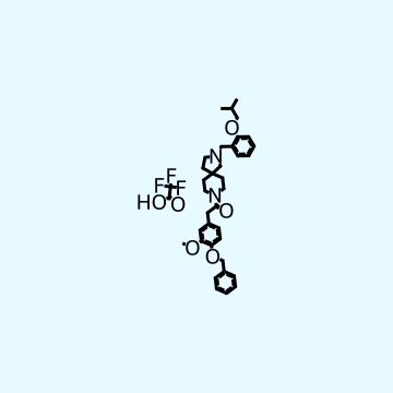 COc1cc(CC(=O)N2CCC3(CCN(Cc4ccccc4OCC(C)C)C3)CC2)ccc1OCc1ccccc1.O=C(O)C(F)(F)F